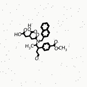 COC(=O)c1ccc(C(CC=O)C(C)N(Cc2ccc3ccccc3c2)C(=O)CC(CC(=O)O)C(=O)O)cc1